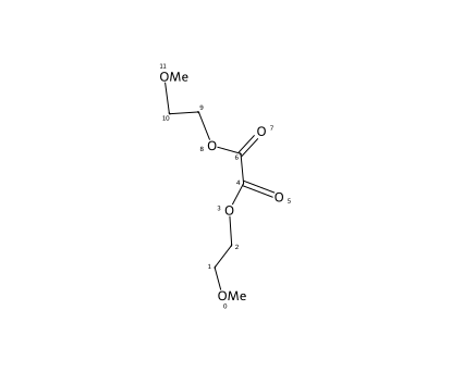 COCCOC(=O)C(=O)OCCOC